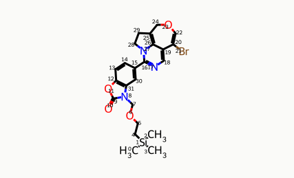 C[Si](C)(C)CCOCn1c(=O)oc2ccc(C3=NC=C4C(Br)=COCC5=C4N3CC5)cc21